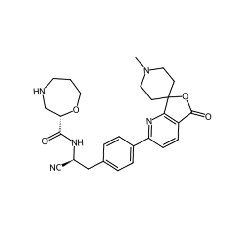 CN1CCC2(CC1)OC(=O)c1ccc(-c3ccc(C[C@@H](C#N)NC(=O)[C@@H]4CNCCCO4)cc3)nc12